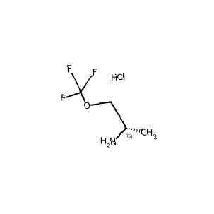 C[C@H](N)COC(F)(F)F.Cl